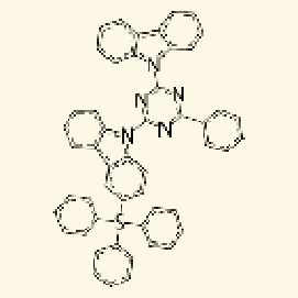 c1ccc(-c2nc(-n3c4ccccc4c4ccccc43)nc(-n3c4ccccc4c4cc(S(c5ccccc5)(c5ccccc5)c5ccccc5)ccc43)n2)cc1